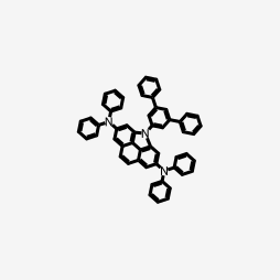 c1ccc(-c2cc(-c3ccccc3)cc(-n3c4cc(N(c5ccccc5)c5ccccc5)cc5ccc6cc(N(c7ccccc7)c7ccccc7)cc3c6c54)c2)cc1